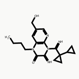 CCCCn1c(=O)c(=N)n(C(=N)C2(C3CC3)CC2)c2ncc(CO)cc21